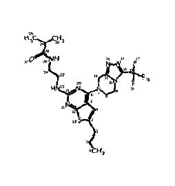 CCCc1cc2c(N3CCn4c(nnc4C(F)(F)F)C3)nc(NCCNC(=O)C(C)C)nc2s1